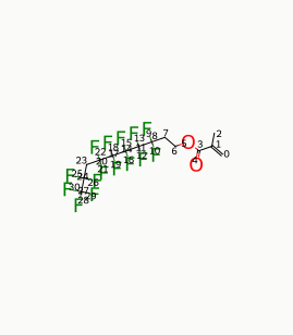 C=C(C)C(=O)OCCC(F)(F)C(F)(F)C(F)(F)C(F)(F)C(F)(F)CC(F)(F)C(F)(F)F